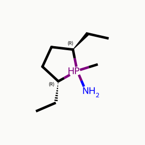 CC[C@@H]1CC[C@@H](CC)[PH]1(C)N